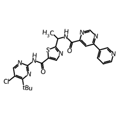 CC(NC(=O)c1cc(-c2cccnc2)ncn1)c1ncc(C(=O)Nc2ncc(Cl)c(C(C)(C)C)n2)s1